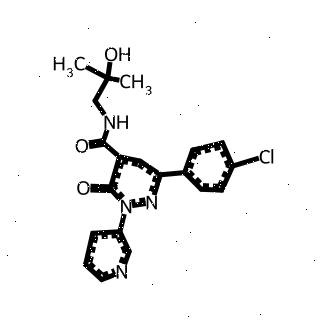 CC(C)(O)CNC(=O)c1cc(-c2ccc(Cl)cc2)nn(-c2cccnc2)c1=O